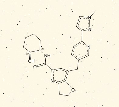 Cn1ccc(-c2ccc(Cc3cc(C(=O)N[C@H]4CCCC[C@@H]4O)nc4c3OCC4)cn2)n1